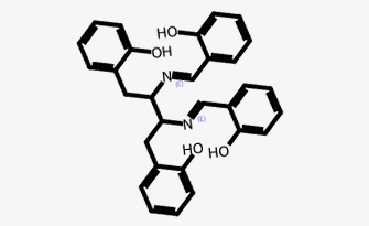 Oc1ccccc1/C=N/C(Cc1ccccc1O)C(Cc1ccccc1O)/N=C/c1ccccc1O